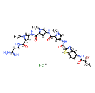 C=C(Br)C(=O)Nc1ccc2sc(C(=O)Nc3cc(C(=O)Nc4cc(C(=O)Nc5cc(C(=O)NCCC(=N)N)n(C)c5)n(C)c4)n(C)c3)nc2c1.Cl